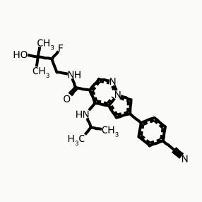 CC(C)Nc1c(C(=O)NCC(F)C(C)(C)O)cnn2cc(-c3ccc(C#N)cc3)cc12